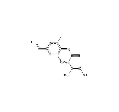 C=Cc1cc(I)c(OC(=O)OC(C)OCCC)c(OC)c1